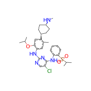 CN[C@H]1CC[C@@H](c2cc(OC(C)C)c(Nc3ncc(Cl)c(Nc4ccccc4S(=O)(=O)C(C)C)n3)cc2C)CC1